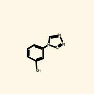 Sc1cccc(-n2cnnn2)c1